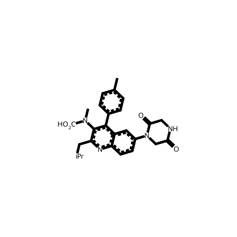 Cc1ccc(-c2c(N(C)C(=O)O)c(CC(C)C)nc3ccc(N4CC(=O)NCC4=O)cc23)cc1